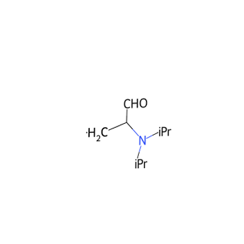 [CH2]C(C=O)N(C(C)C)C(C)C